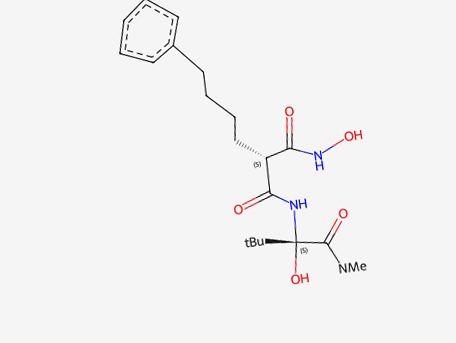 CNC(=O)[C@](O)(NC(=O)[C@H](CCCCc1ccccc1)C(=O)NO)C(C)(C)C